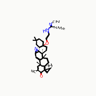 CN/C(=N\C#N)NCCO[C@]12CCC(C)(C)CC1[C@@]13N=C1C=C1[C@@]4(C)C=C(C#N)C(=O)C5(CC5)[C@@H]4CC[C@@]1(C)[C@]3(C)CC2